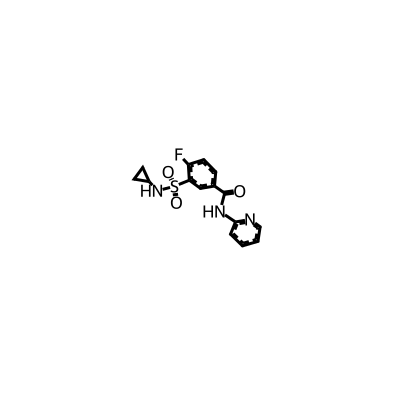 O=C(Nc1ccccn1)c1ccc(F)c(S(=O)(=O)NC2CC2)c1